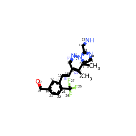 CC/C(C)=C(\C=N/n1ccnc1C=N)/C=C/c1cc(C=O)ccc1C(F)(F)F